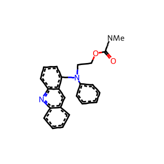 CNC(=O)OCCN(c1ccccc1)c1cccc2nc3ccccc3cc12